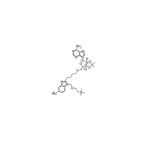 CC1(C)O[C@@H]2[C@H](O1)[C@@H](CSCCCCc1nc3cc(C(C)(C)C)ccc3n1COCC[Si](C)(C)C)O[C@H]2n1cnc2c(N)ncnc21